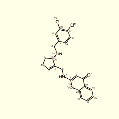 O=c1cc(NCC2=CCC[C@H]2NCc2ccc(Cl)c(Cl)c2)[nH]c2ccccc12